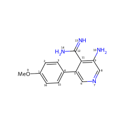 COc1ccc(-c2cncc(N)c2C(=N)N)cc1